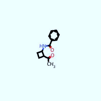 CC(=O)C1CCC1NC(=O)c1ccccc1